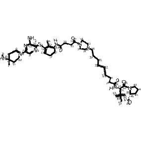 CNC1(C)CCN(c2cnc(Sc3cccc(NC(=O)CCC(=O)N4CCN(CCCCCCCCC(=O)N[C@@H](C(=O)N5CCC[C@@H]5C=O)C(C)(C)C)CC4)c3C)c(N)n2)CC1